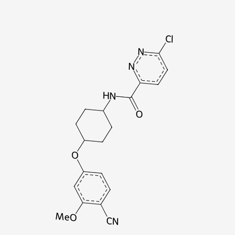 COc1cc(OC2CCC(NC(=O)c3ccc(Cl)nn3)CC2)ccc1C#N